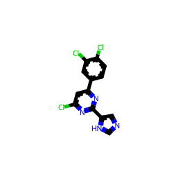 Clc1cc(-c2ccc(Cl)c(Cl)c2)nc(-c2cnc[nH]2)n1